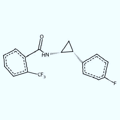 O=C(N[C@@H]1C[C@@H]1c1ccc(F)cc1)c1ccccc1C(F)(F)F